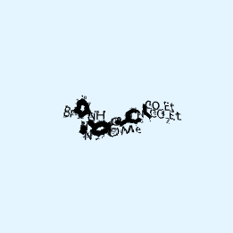 CCOC(=O)CC(CC(=O)OCC)N1CCC(COc2cc3c(Nc4cccc(Br)c4)ncnc3cc2OC)CC1